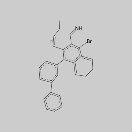 CC/C=C\c1c(C=N)c(Br)c2c(c1-c1cccc(-c3ccccc3)c1)=CCCC=2